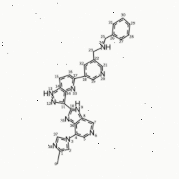 Cc1cn(-c2cncc3[nH]c(-c4n[nH]c5ccc(-c6cncc(CNCc7ccccc7)c6)nc45)nc23)cn1